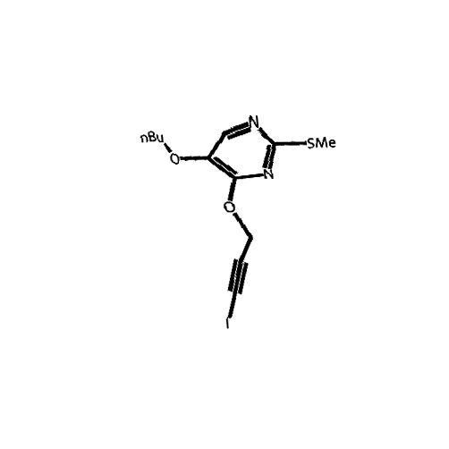 CCCCOc1cnc(SC)nc1OCC#CI